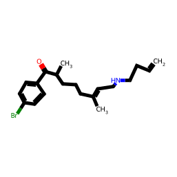 C=CCCNCC=C(C)CCCC(C)C(=O)c1ccc(Br)cc1